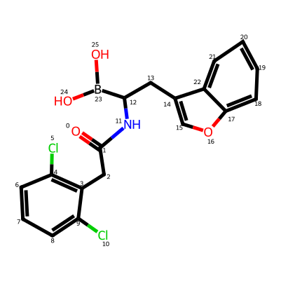 O=C(Cc1c(Cl)cccc1Cl)NC(Cc1coc2ccccc12)B(O)O